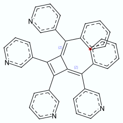 c1ccc(/C(=C2C(c3cccnc3)=C(c3cccnc3)C/2=C(/c2ccccc2)c2cccnc2)c2cccnc2)cc1